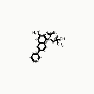 CCc1nc2c(N)nc3cc(-c4cccnc4)ccc3c2n1CC(C)(C)O